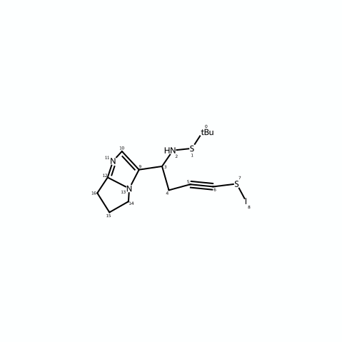 CC(C)(C)SNC(CC#CSI)c1cnc2n1CCC2